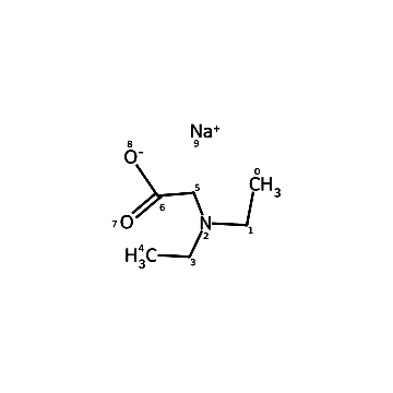 CCN(CC)CC(=O)[O-].[Na+]